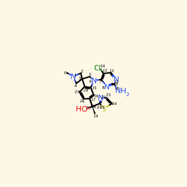 CN1CC2(C1)CN(c1nc(N)ncc1Cl)c1cc([C@@](C)(O)c3nccs3)ccc12